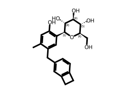 Cc1cc(O)c([C@@H]2O[C@H](CO)[C@@H](O)[C@H](O)[C@H]2O)cc1Cc1ccc2c(c1)CC2